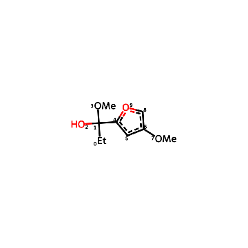 CCC(O)(OC)c1cc(OC)co1